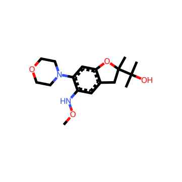 CONc1cc2c(cc1N1CCOCC1)OC(C)(C(C)(C)O)C2